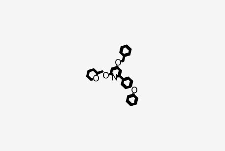 c1ccc(COc2cc(OCC3CCCCO3)nc(-c3ccc(Oc4ccccc4)cc3)c2)cc1